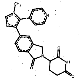 Cn1cnc(-c2ccc3c(c2)CN(C2CCC(=O)NC2=O)C3=O)c1-c1ccncc1